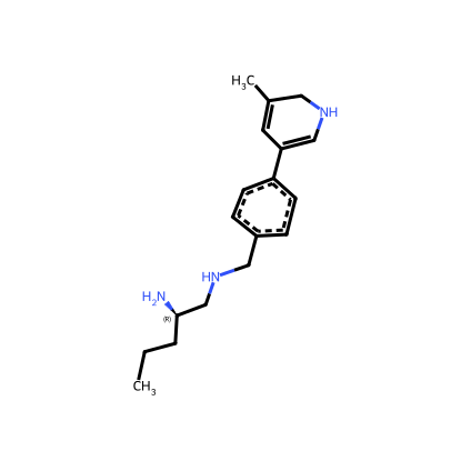 CCC[C@@H](N)CNCc1ccc(C2=CNCC(C)=C2)cc1